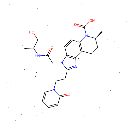 CC(CO)NC(=O)Cn1c(CCn2ccccc2=O)nc2c3c(ccc21)N(C(=O)O)[C@@H](C)CC3